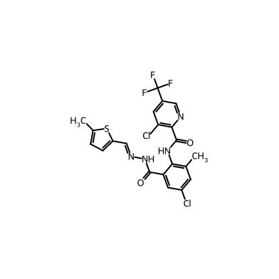 Cc1ccc(C=NNC(=O)c2cc(Cl)cc(C)c2NC(=O)c2ncc(C(F)(F)F)cc2Cl)s1